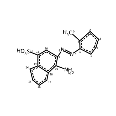 Cc1ccccc1N=Nc1cc(S(=O)(=O)O)c2ccccc2c1N